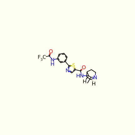 C[C@H]1[C@H](NC(=O)c2cnc(-c3cccc(NC(=O)C(F)(F)F)c3)s2)C2CCN1CC2